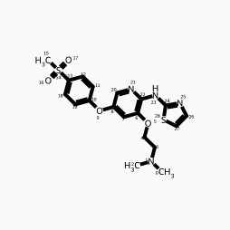 CN(C)CCOc1cc(Oc2ccc(S(C)(=O)=O)cc2)cnc1Nc1nccs1